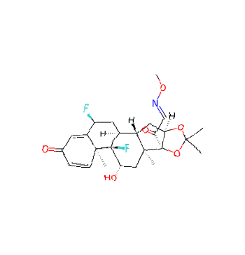 CO/N=C/C(=O)[C@@]12OC(C)(C)O[C@@H]1C[C@H]1[C@@H]3C[C@H](F)C4=CC(=O)C=C[C@]4(C)[C@@]3(F)[C@@H](O)C[C@@]12C